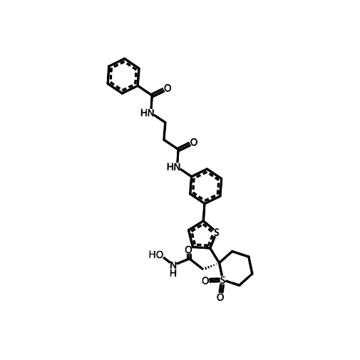 O=C(C[C@]1(c2ccc(-c3cccc(NC(=O)CCNC(=O)c4ccccc4)c3)s2)CCCCS1(=O)=O)NO